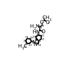 CC(=O)OC[C@H](N)C(=O)Nc1ccc2cnn(-c3cccc(C)c3)c2c1